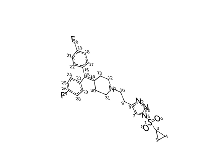 O=S(=O)(C1CC1)n1cc(CCN2CCC(=C(c3ccc(F)cc3)c3ccc(F)cc3)CC2)nn1